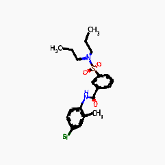 CCCN(CCC)S(=O)(=O)c1cccc(C(=O)Nc2ccc(Br)cc2C)c1